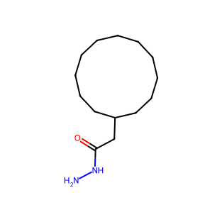 NNC(=O)CC1CCCCCCCCCCC1